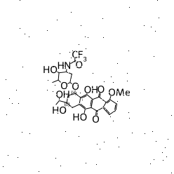 COc1cccc2c1C(=O)c1c(O)c3c(c(O)c1C2=O)C[C@@](O)(C(C)O)C[C@@H]3OC1CC(NC(=O)C(F)(F)F)C(O)C(C)O1